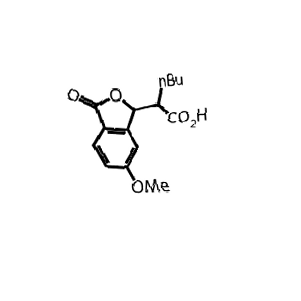 CCCCC(C(=O)O)C1OC(=O)c2ccc(OC)cc21